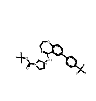 CC(C)(C)OC(=O)N1CC[C@H](NC2=NCCOc3ccc(-c4ccc(C(F)(F)F)cc4)cc32)C1